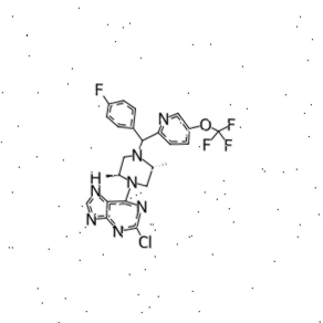 C[C@@H]1CN(c2nc(Cl)nc3nc[nH]c23)[C@@H](C)CN1C(c1ccc(F)cc1)c1ccc(OC(F)(F)F)cn1